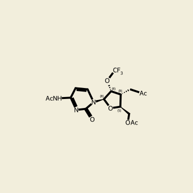 CC(=O)C[C@H]1[C@@H](OC(F)(F)F)[C@H](n2ccc(NC(C)=O)nc2=O)O[C@@H]1COC(C)=O